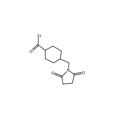 CCC(=O)C1CCC(CN2C(=O)CCC2=O)CC1